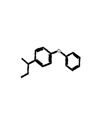 CCC(C)c1ccc(Oc2ccccc2)cc1